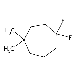 CC1(C)CCCC(F)(F)CC1